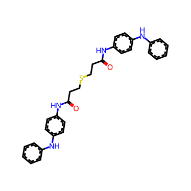 O=C(CCSCCC(=O)Nc1ccc(Nc2ccccc2)cc1)Nc1ccc(Nc2ccccc2)cc1